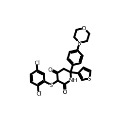 O=C1CC(c2ccc(N3CCOCC3)cc2)(c2ccsc2)NC(=O)C1Sc1cc(Cl)ccc1Cl